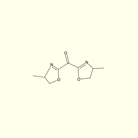 CC1COC(C(=O)C2=NC(C)CO2)=N1